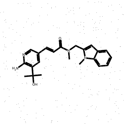 CN(Cc1cc2ccccc2n1C)C(=O)C=Cc1cnc(N)c(C(C)(C)O)c1